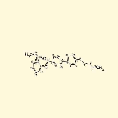 CCCCCc1ccc(-c2ccc(C(=O)O[C@H](CC)c3ccccc3)cc2)cc1